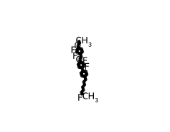 CCOc1ccc(COc2ccc(-c3ccc(CCCCC/C=C(\C)F)cc3)c(F)c2F)c(F)c1F